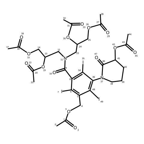 CC(=O)OCc1c(I)c(C(=O)N(CC(COC(C)=O)OC(C)=O)CC(COC(C)=O)OC(C)=O)c(I)c(N2CCCC(OC(C)=O)C2=O)c1I